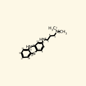 CN(C)CCCNc1ccc2c(c1)Nc1ccccc1S2